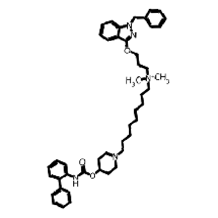 C[N+](C)(CCCCCCCCCN1CCC(OC(=O)Nc2ccccc2-c2ccccc2)CC1)CCCOc1nn(Cc2ccccc2)c2ccccc12